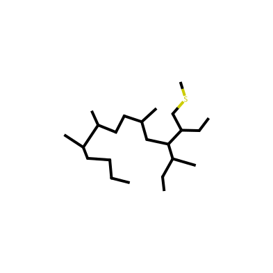 CCCCC(C)C(C)CCC(C)CC(C(C)CC)C(CC)CSC